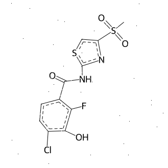 CS(=O)(=O)c1csc(NC(=O)c2ccc(Cl)c(O)c2F)n1